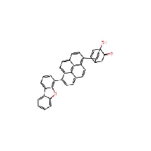 O=C1CC2C=CC1(O)C=C2c1ccc2ccc3c(-c4cccc5c4oc4ccccc45)ccc4ccc1c2c43